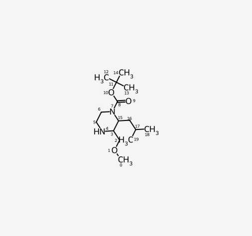 COCC1NCCN(C(=O)OC(C)(C)C)C1CC(C)C